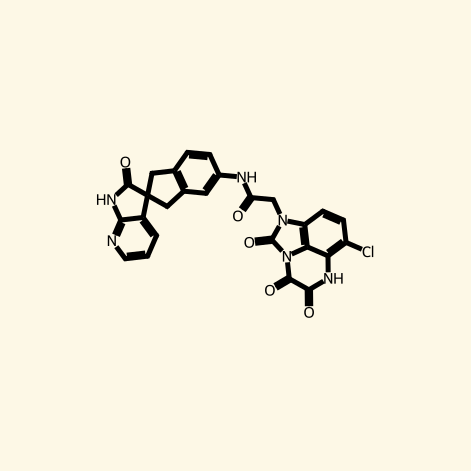 O=C(Cn1c(=O)n2c(=O)c(=O)[nH]c3c(Cl)ccc1c32)Nc1ccc2c(c1)CC1(C2)C(=O)Nc2ncccc21